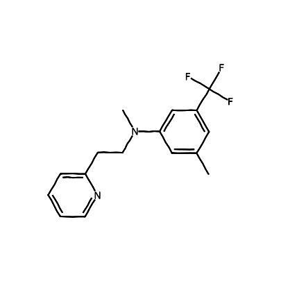 Cc1cc(N(C)CCc2ccccn2)cc(C(F)(F)F)c1